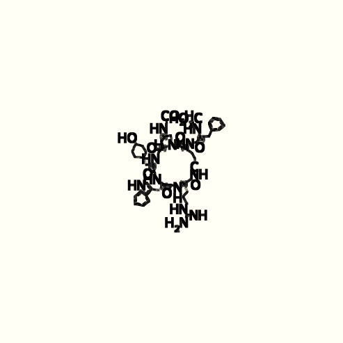 N=C(N)NCCC[C@@H]1NC(=O)[C@H](Cc2c[nH]c3ccccc23)NC(=O)[C@@H](C[C@H]2CC[C@@H](O)CC2)NC(=O)[C@@H]2C[C@H](NCC(=O)O)CN2C(=O)[C@@H](NC(=O)[C@H](Cc2ccccc2)NCC(=O)O)CCCNC1=O